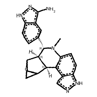 CN1c2ccc3[nH]ncc3c2[C@H]2C3CCC(C3)[C@H]2[C@@H]1c1ccc2[nH]nc(N)c2c1